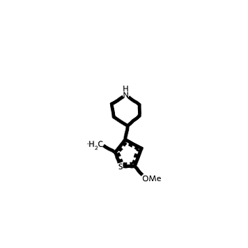 [CH2]c1sc(OC)cc1C1CCNCC1